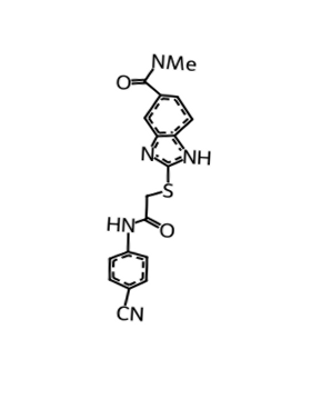 CNC(=O)c1ccc2[nH]c(SCC(=O)Nc3ccc(C#N)cc3)nc2c1